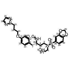 CC(C)CN(C[C@H](O)[C@H](Cc1ccc(OCCCn2nccn2)cc1)NC(=O)O)S(=O)(=O)c1ccc2c(c1)OCO2